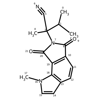 CC(C)C(C)(C#N)N1C(=O)c2ccc3ccn(C)c3c2C1=O